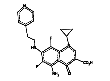 Nc1c(F)c(NCCc2ccncc2)c(F)c2c1c(=O)c(C(=O)O)cn2C1CC1